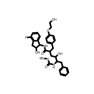 CC(C)(C)OC(=O)NC(Cc1ccccc1)C(O)CC(Cc1ccc(OCCO)cc1)C(=O)NC1c2cccc(F)c2CC1O